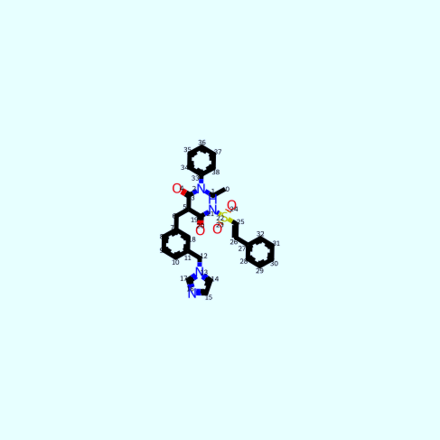 CCN(C(=O)C(Cc1cccc(Cn2ccnc2)c1)C(=O)NS(=O)(=O)C=Cc1ccccc1)c1ccccc1